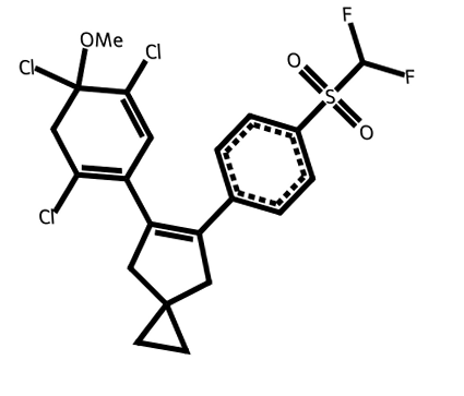 COC1(Cl)CC(Cl)=C(C2=C(c3ccc(S(=O)(=O)C(F)F)cc3)CC3(CC3)C2)C=C1Cl